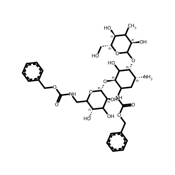 CC1[C@@H](O)C(O[C@H]2C(O)[C@H](O[C@H]3OC(CNC(=O)OCc4ccccc4)[C@@H](O)C(O)[C@@H]3O)C(NC(=O)OCc3ccccc3)C[C@H]2N)O[C@H](CO)[C@H]1O